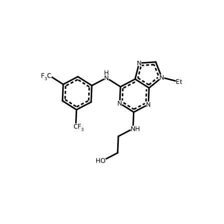 CCn1cnc2c(Nc3cc(C(F)(F)F)cc(C(F)(F)F)c3)nc(NCCO)nc21